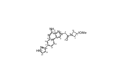 COC1CN(C(=O)Cn2cc3c(n2)c(N)nc2cc(-c4cc[nH]n4)ccc23)C1